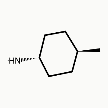 C[C@H]1CC[C@H]([NH])CC1